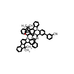 CC1(C)c2ccccc2-c2ccc3c(c21)c1ccccc1n3-c1ccc(C#N)cc1-c1nc(-c2ccccc2)nc(-c2cc(-c3cccc(C#N)c3)ccc2-n2c3ccccc3c3c4c(ccc32)-c2ccccc2C4(C)C)n1